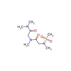 CN(C)C(=O)CN(C)C(=O)CN(C)S(C)(=O)=O